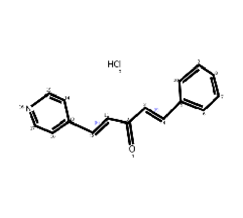 Cl.O=C(/C=C/c1ccccc1)/C=C/c1ccncc1